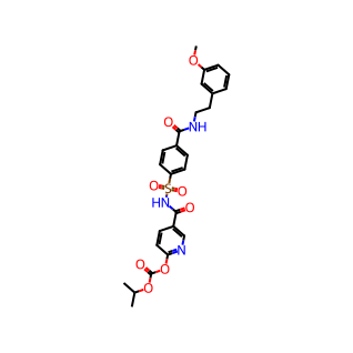 COc1cccc(CCNC(=O)c2ccc(S(=O)(=O)NC(=O)c3ccc(OC(=O)OC(C)C)nc3)cc2)c1